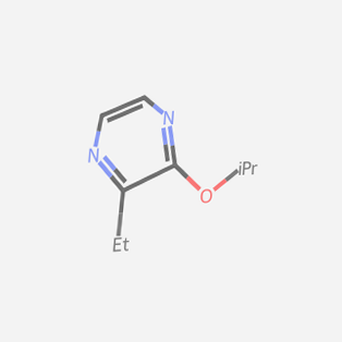 CCc1nccnc1OC(C)C